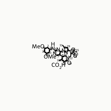 COc1cc(Nc2ncc(-c3cn(CCS(C)(=O)=O)c(=O)c(C(=O)O)c3C)c(-n3nc(C(F)(F)F)cc3C)n2)cc(OC)c1